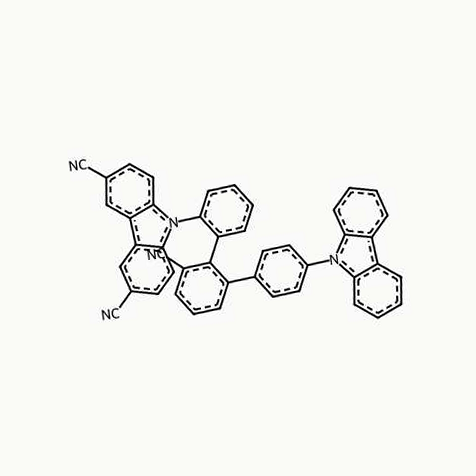 N#Cc1ccc2c(c1)c1cc(C#N)ccc1n2-c1ccccc1-c1c(C#N)cccc1-c1ccc(-n2c3ccccc3c3ccccc32)cc1